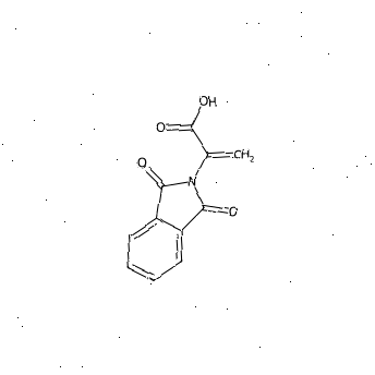 C=C(C(=O)O)N1C(=O)c2ccccc2C1=O